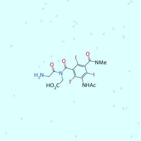 CNC(=O)c1c(I)c(NC(C)=O)c(I)c(C(=O)N(CC(=O)O)C(=O)CN)c1I